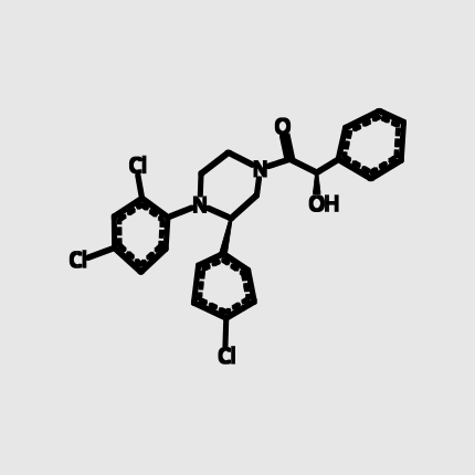 O=C([C@H](O)c1ccccc1)N1CCN(c2ccc(Cl)cc2Cl)[C@H](c2ccc(Cl)cc2)C1